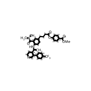 C=C(Nc1ccc(CCCC(=O)Oc2ccc(C(=O)OC)cc2)cc1C(=O)N(C)C)c1ccncc1-c1ccc(C(F)(F)F)cc1